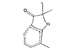 Cc1cccc2c1OC(C)(C)C2=O